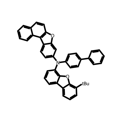 CC(C)(C)c1cccc2c1oc1c(N(c3ccc(-c4ccccc4)cc3)c3ccc4c(c3)oc3ccc5ccccc5c34)cccc12